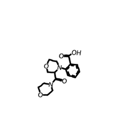 O=C(O)c1ccccc1N1CCOCC1C(=O)N1CCOCC1